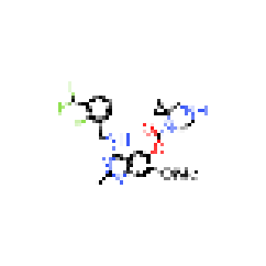 COc1cc2nc(C)nc(NCc3cccc(C(F)F)c3F)c2cc1OC(=O)N1CCNCC12CC2